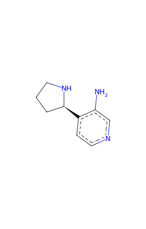 Nc1cnccc1[C@H]1CCCN1